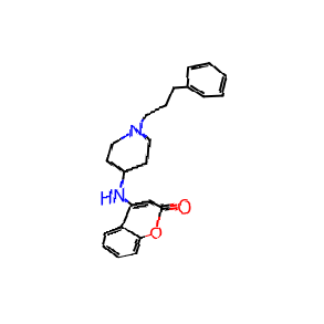 O=c1cc(NC2CCN(CCCc3ccccc3)CC2)c2ccccc2o1